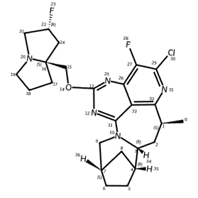 C[C@H]1C[C@@H]2[C@@H]3CC[C@@H](C3)CN2c2nc(OC[C@@]34CCCN3C[C@H](F)C4)nc3c(F)c(Cl)nc1c23